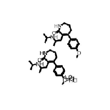 COc1ccc(C2=C(CC(C)NC(C)C)C(=O)NCCC2)cc1.COc1ccc(C2=C(CC(C)NC(C)C)C(=O)NCCC2)cc1.Cl.Cl.O